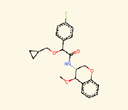 CO[C@@H]1c2ccccc2OC[C@H]1NC(=O)C(OCC1CC1)c1ccc(F)cc1